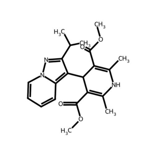 COC(=O)C1=C(C)NC(C)=C(C(=O)OC)C1c1c(C(C)C)nn2ccccc12